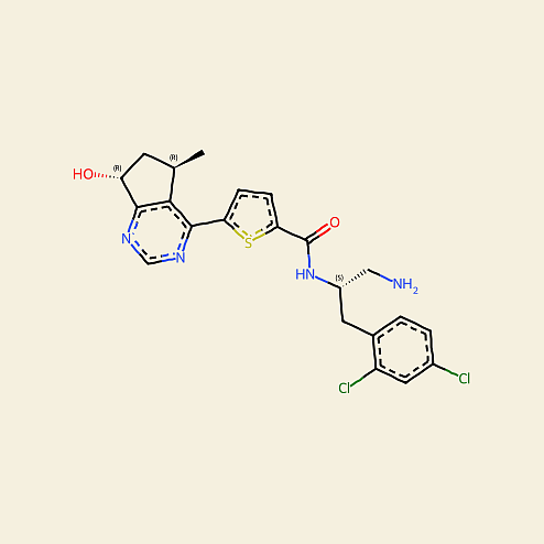 C[C@@H]1C[C@@H](O)c2ncnc(-c3ccc(C(=O)N[C@H](CN)Cc4ccc(Cl)cc4Cl)s3)c21